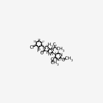 COc1ncc(-c2nc3c(n2C(C)C)CN(c2cccc(Cl)c2F)C3=O)c(OC)n1